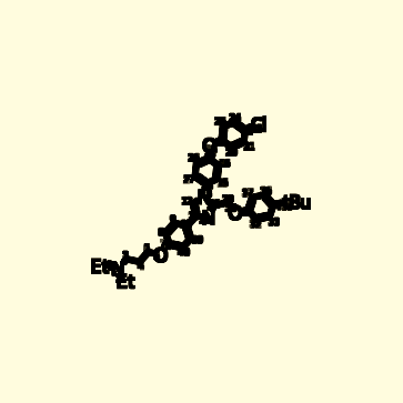 CCN(CC)CCCOc1ccc(-c2cn(-c3ccc(Oc4ccc(Cl)cc4)cc3)c(COc3ccc(C(C)(C)C)cc3)n2)cc1